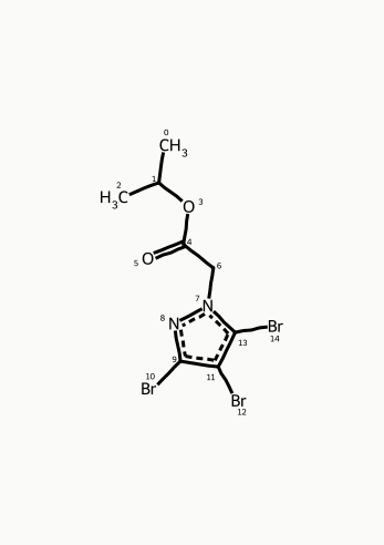 CC(C)OC(=O)Cn1nc(Br)c(Br)c1Br